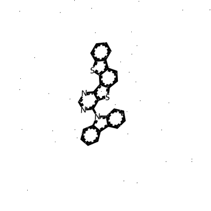 c1ccc2c(c1)sc1c2ccc2sc3c(-n4c5ccccc5c5ccccc54)ncnc3c21